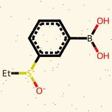 CC[S+]([O-])c1cccc(B(O)O)c1